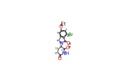 CCOc1cc(Br)c2c(c1)CN(C1CCC(=O)NC1=O)C2=O